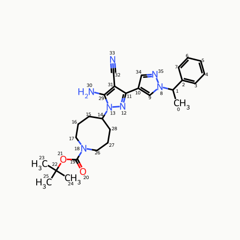 CC(c1ccccc1)n1cc(-c2nn(C3CCCN(C(=O)OC(C)(C)C)CCC3)c(N)c2C#N)cn1